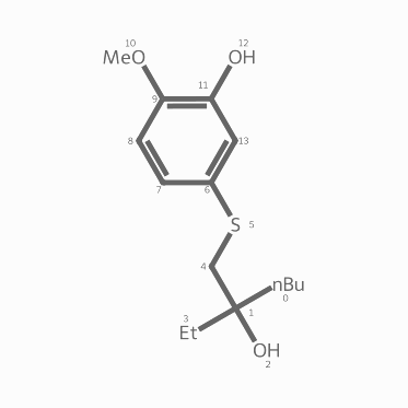 CCCCC(O)(CC)CSc1ccc(OC)c(O)c1